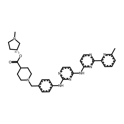 Cc1cccc(-c2nccc(Nc3ccnc(Nc4ccc(CN5CCC(C(=O)O[C@@H]6CCN(C)C6)CC5)cc4)n3)n2)n1